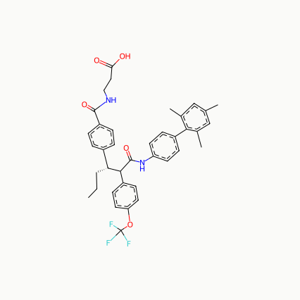 CCC[C@H](c1ccc(C(=O)NCCC(=O)O)cc1)C(C(=O)Nc1ccc(-c2c(C)cc(C)cc2C)cc1)c1ccc(OC(F)(F)F)cc1